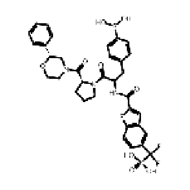 O=C(NC(Cc1ccc(B(O)O)cc1)C(=O)N1CCC[C@H]1C(=O)N1CCO[C@H](c2ccccc2)C1)c1cc2cc(C(F)(F)P(=O)(O)O)ccc2s1